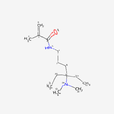 C=C(C)C(=O)NCCCC(CC)(CC)N(C)C